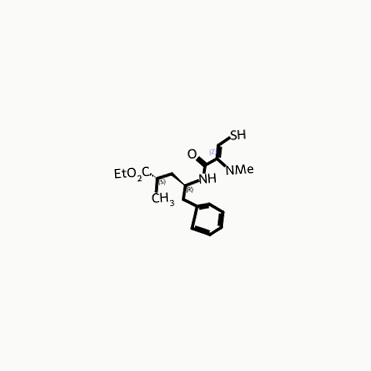 CCOC(=O)[C@@H](C)C[C@H](Cc1ccccc1)NC(=O)/C(=C/S)NC